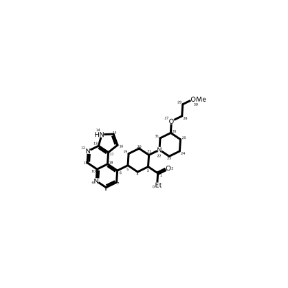 CCC(=O)C1CC(c2ccnc3cnc4[nH]ccc4c23)CCC1N1CCCC(OCCOC)C1